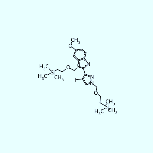 COc1ccc2nc(-c3nn(COCC[Si](C)(C)C)cc3I)n(COCC[Si](C)(C)C)c2c1